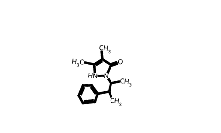 Cc1[nH]n(C(C)C(C)c2ccccc2)c(=O)c1C